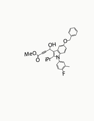 COC(=O)C#CC(O)c1c(C(C)C)n(-c2ccc(F)c(C)c2)c2ccc(OCc3ccccc3)cc12